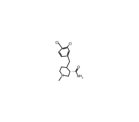 CN1CCC(Cc2ccc(Cl)c(Cl)c2)[C@H](C(N)=O)C1